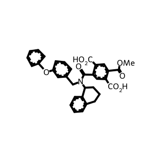 COC(=O)c1cc(C(=O)O)c(C(=O)N(Cc2cccc(Oc3ccccc3)c2)C2CCCc3ccccc32)cc1C(=O)O